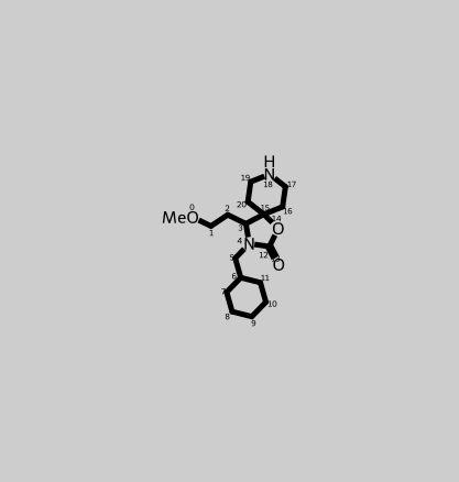 COCCC1N(CC2CCCCC2)C(=O)OC12CCNCC2